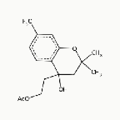 CC(=O)OCCC1(O)CC(C)(C)Oc2cc(C(F)(F)F)ccc21